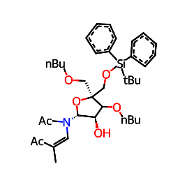 CCCCOC[C@@]1(CO[Si](c2ccccc2)(c2ccccc2)C(C)(C)C)O[C@@H](N(/C=C(/C)C(C)=O)C(C)=O)[C@H](O)C1OCCCC